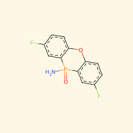 NP1(=O)c2cc(F)ccc2Oc2ccc(F)cc21